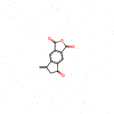 C=C1CC(=O)c2cc3c(cc21)C(=O)OC3=O